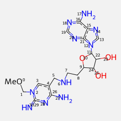 COCn1cc(CNCCC2OC(n3cnc4c(N)ncnc43)C(O)C2O)c(N)nc1=N